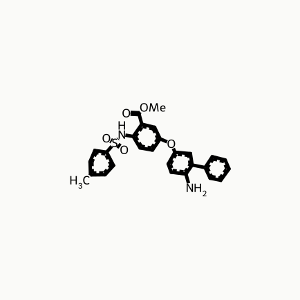 COC(=O)c1cc(Oc2ccc(N)c(-c3ccccc3)c2)ccc1NS(=O)(=O)c1ccc(C)cc1